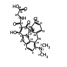 CN(C)c1ccc2nc3c(O)c(C(=O)NCC(=O)O)c(=O)[nH]n3c2c1Cc1ccc(Cl)cc1